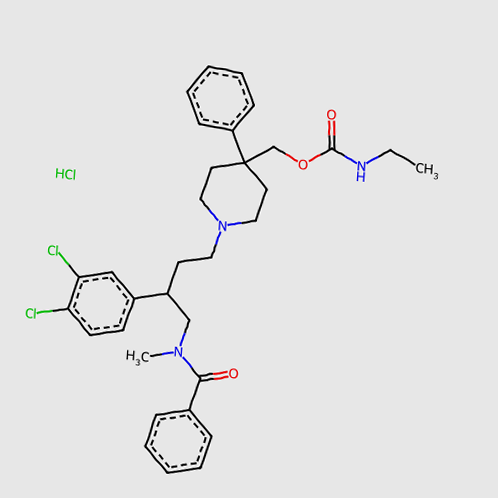 CCNC(=O)OCC1(c2ccccc2)CCN(CCC(CN(C)C(=O)c2ccccc2)c2ccc(Cl)c(Cl)c2)CC1.Cl